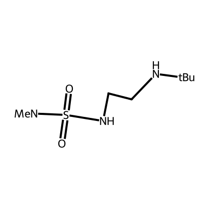 CNS(=O)(=O)NCCNC(C)(C)C